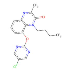 O=c1c(C(F)(F)F)nc2cccc(Oc3ncc(Cl)cn3)c2n1CCCC(F)(F)F